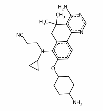 CC1(C)Cc2c(ccc(OC3CCC(N)CC3)c2N(CCC#N)C2CC2)-c2ncnc(N)c21